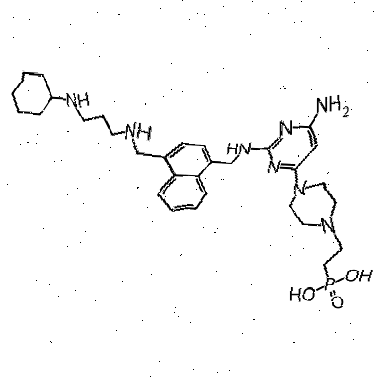 Nc1cc(N2CCN(CCP(=O)(O)O)CC2)nc(NCc2ccc(CNCCCNC3CCCCC3)c3ccccc23)n1